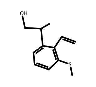 C=Cc1c(SC)cccc1[C](C)CO